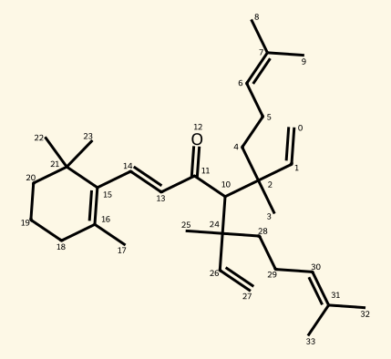 C=CC(C)(CCC=C(C)C)C(C(=O)C=CC1=C(C)CCCC1(C)C)C(C)(C=C)CCC=C(C)C